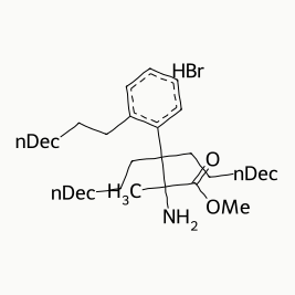 Br.CCCCCCCCCCCCc1ccccc1C(CCCCCCCCCCCC)(CCCCCCCCCCCC)C(C)(N)C(=O)OC